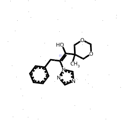 CC1(/C(O)=C(/Cc2ccccc2)n2cncn2)COCOC1